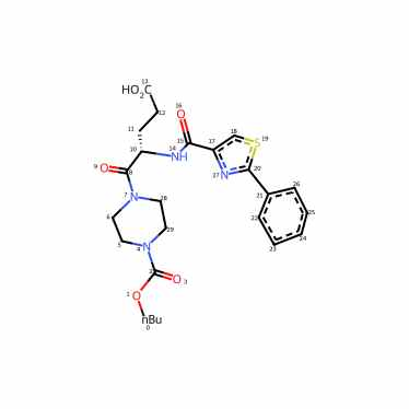 CCCCOC(=O)N1CCN(C(=O)[C@H](CCC(=O)O)NC(=O)c2csc(-c3ccccc3)n2)CC1